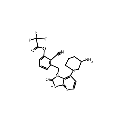 N#Cc1c(Cn2c(=O)[nH]c3nccc(N4CCCC(N)C4)c32)cccc1OC(=O)C(F)(F)F